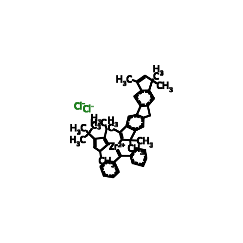 CCC1=[C]([Zr+2]([C]2=C(C)c3cc4c(cc3C2(C)C)Cc2cc3c(cc2-4)C(C)=CC3(C)C)=[C](c2ccccc2)c2ccccc2)C(C)C=C1C(C)(C)C.[Cl-].[Cl-]